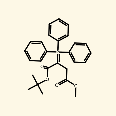 COC(=O)CC(C(=O)OC(C)(C)C)=P(c1ccccc1)(c1ccccc1)c1ccccc1